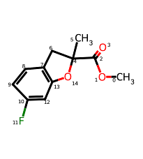 COC(=O)C1(C)Cc2ccc(F)cc2O1